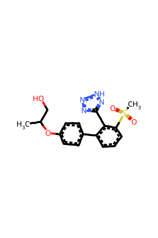 CC(CO)Oc1ccc(-c2cccc(S(C)(=O)=O)c2-c2nn[nH]n2)cc1